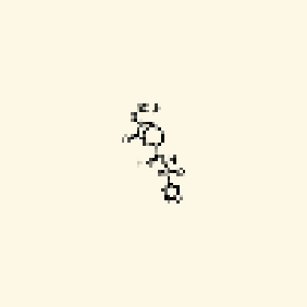 N=C(NS(=O)(=O)c1cocn1)C1CCC2CN1C(=O)N2OS(=O)(=O)O